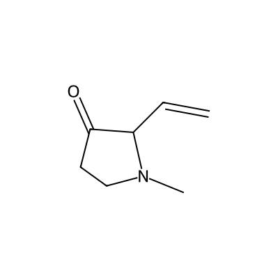 C=CC1C(=O)CCN1C